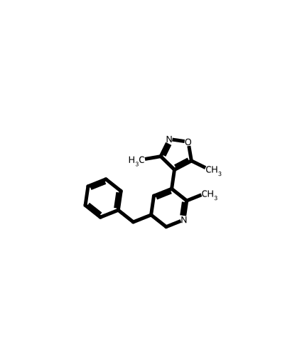 CC1=NCC(Cc2ccccc2)C=C1c1c(C)noc1C